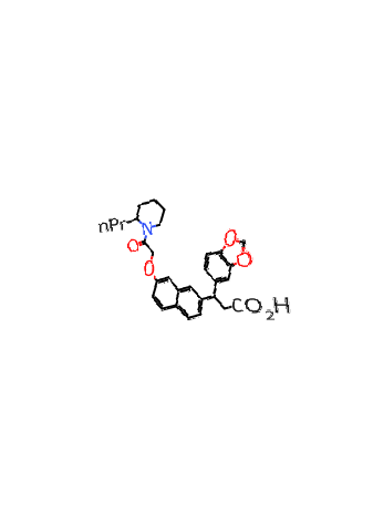 CCCC1CCCCN1C(=O)COc1ccc2ccc(C(CC(=O)O)c3ccc4c(c3)OCO4)cc2c1